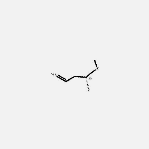 CS[C@H](C)CC=N